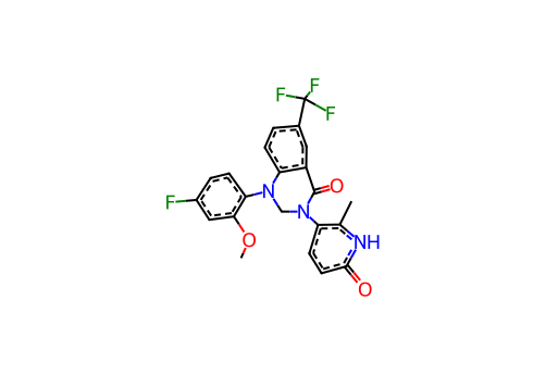 COc1cc(F)ccc1N1CN(c2ccc(=O)[nH]c2C)C(=O)c2cc(C(F)(F)F)ccc21